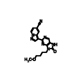 COCCCCn1c(=O)[nH]c2cnc(-c3cnn4ccc(C#N)cc34)nc21